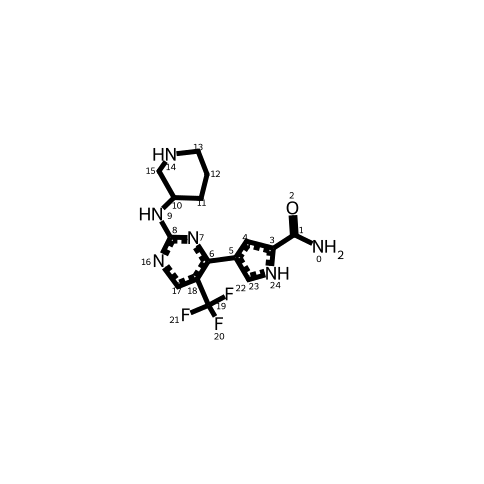 NC(=O)c1cc(-c2nc(NC3CCCNC3)ncc2C(F)(F)F)c[nH]1